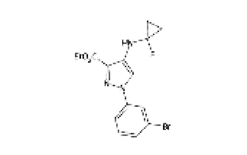 CCOC(=O)c1nn(-c2cccc(Br)c2)cc1NC1(F)CC1